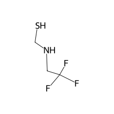 FC(F)(F)CNCS